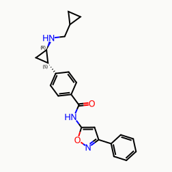 O=C(Nc1cc(-c2ccccc2)no1)c1ccc([C@@H]2C[C@H]2NCC2CC2)cc1